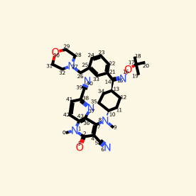 Cn1c(=O)c(C#N)c(N(C)[C@H]2CC[C@H](/C(=N/OC(C)(C)C)c3cccc(CN4CCOCC4)c3)CC2)c2nc(C#N)ccc21